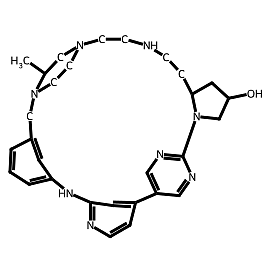 CC1CN2CCNCCC3CC(O)CN3c3ncc(cn3)-c3ccnc(c3)Nc3cccc(c3)CN1CC2